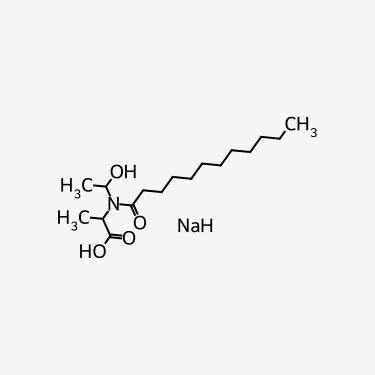 CCCCCCCCCCCC(=O)N(C(C)O)C(C)C(=O)O.[NaH]